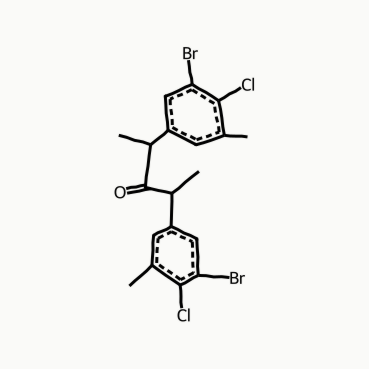 Cc1cc(C(C)C(=O)C(C)c2cc(C)c(Cl)c(Br)c2)cc(Br)c1Cl